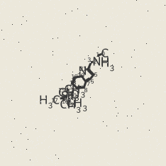 CCNCc1ccc2cc(O[Si](C)(C)C(C)(C)C)ccc2n1